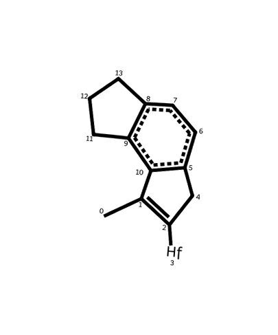 CC1=[C]([Hf])Cc2ccc3c(c21)CCC3